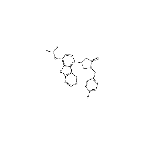 O=C1CC(c2ccc(OC(F)F)c3oc4ccncc4c23)CN1Cc1ccc(F)cc1